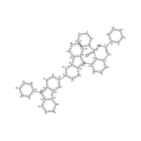 O=S1(c2ccccc2)=NC(c2ccccc2)=Cc2cccc(-n3c4ccccc4c4cc(-c5ccc6c(c5)c5ccccc5n6-c5ccccc5)ccc43)c21